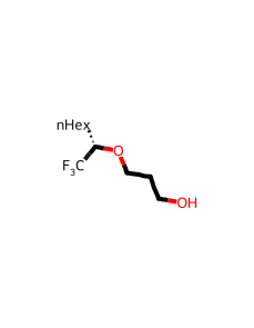 CCCCCC[C@H](OCCCO)C(F)(F)F